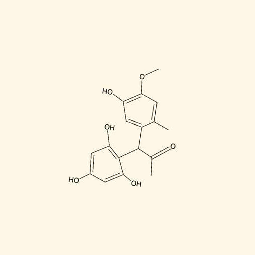 COc1cc(C)c(C(C(C)=O)c2c(O)cc(O)cc2O)cc1O